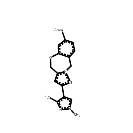 CC(=O)Nc1ccc2c(c1)OCc1cc(-c3cn(C)nc3C(F)(F)F)nn1C2